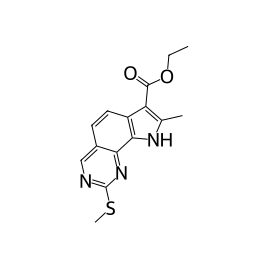 CCOC(=O)c1c(C)[nH]c2c1ccc1cnc(SC)nc12